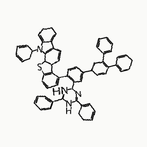 C1=CCCC(C2=NC(c3cc(C4C=CC(C5=CCCC=C5)=C(c5ccccc5)C4)ccc3-c3cccc4c3C3C=Cc5c(n(C6C=CC=CC6)c6c5=CCCC=6)C3S4)NC(c3ccccc3)N2)=C1